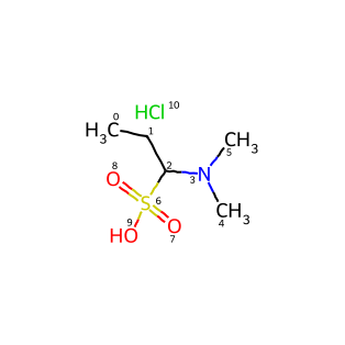 CCC(N(C)C)S(=O)(=O)O.Cl